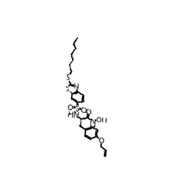 C=CCOc1ccc(C[C@@H](NS(=O)(=O)c2ccc3nc(SCCCCCCC)sc3c2)C(=O)NO)cc1